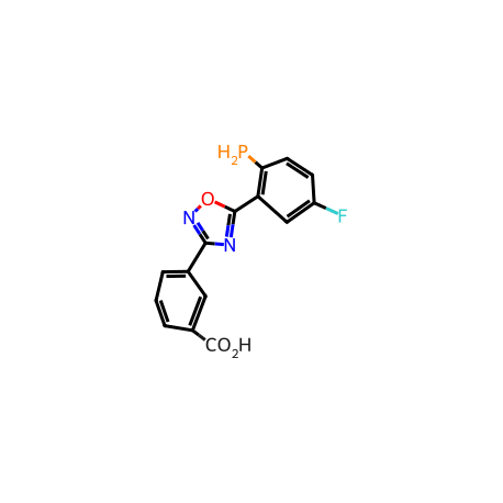 O=C(O)c1cccc(-c2noc(-c3cc(F)ccc3P)n2)c1